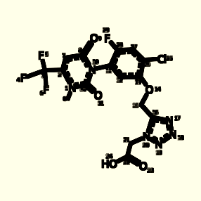 Cn1c(C(F)(F)F)cc(=O)n(-c2cc(OCc3nnnn3CC(=O)O)c(Cl)cc2F)c1=O